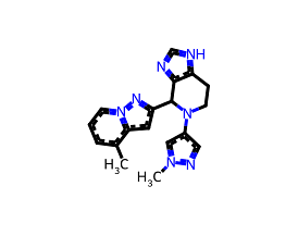 Cc1cccn2nc(C3c4nc[nH]c4CCN3c3cnn(C)c3)cc12